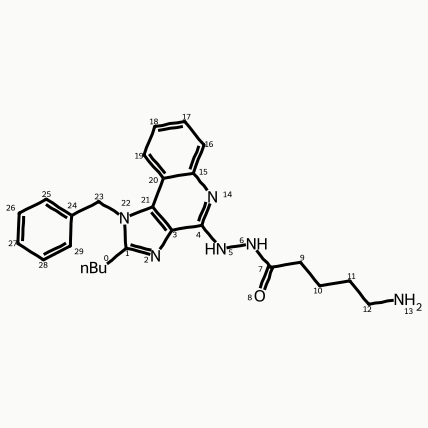 CCCCc1nc2c(NNC(=O)CCCCN)nc3ccccc3c2n1Cc1ccccc1